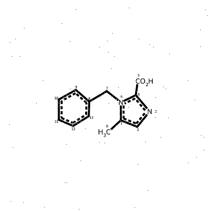 Cc1cnc(C(=O)O)n1Cc1ccccc1